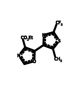 CCOC(=O)c1ncoc1-c1nc(C(F)(F)F)sc1C